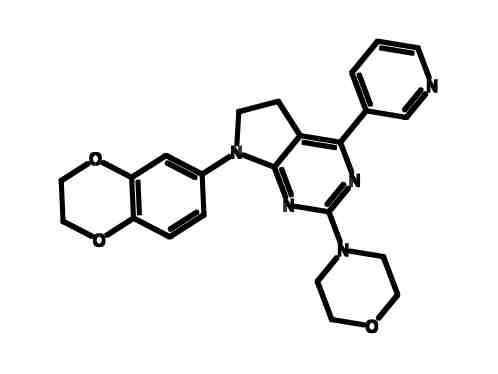 c1cncc(-c2nc(N3CCOCC3)nc3c2CCN3c2ccc3c(c2)OCCO3)c1